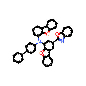 c1ccc(-c2ccc(N(c3cccc4c3oc3ccccc34)c3cc(-c4nc5ccccc5o4)cc4c3oc3ccccc34)cc2)cc1